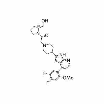 COc1cc(F)c(F)cc1-c1ccnc2[nH]c(C3CCN(CC(=O)N4CCC[C@H]4CO)CC3)cc12